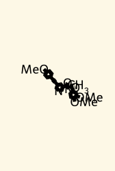 COc1ccc(C#Cc2cncc(C(=O)N=S(C)(=O)c3ccc(OC)c(OC)c3)c2)cc1